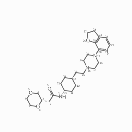 O=C(C[C@H]1COCCO1)N[C@H]1CC[C@H](CCN2CCN(c3nccc4c3OCC4)CC2)CC1